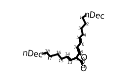 CCCCCCCCCCCCCCC=CC=C1OC(=O)C1C=CCCCCCCCCCCCCCC